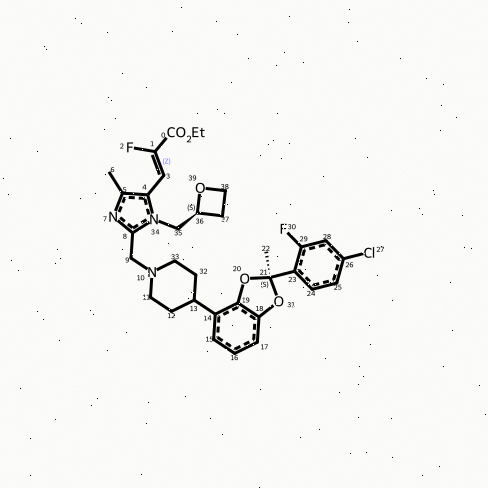 CCOC(=O)/C(F)=C/c1c(C)nc(CN2CCC(c3cccc4c3O[C@@](C)(c3ccc(Cl)cc3F)O4)CC2)n1C[C@@H]1CCO1